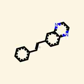 C(=C\c1ccc2nccnc2c1)/c1ccccc1